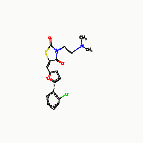 CN(C)CCN1C(=O)SC(=Cc2ccc(-c3ccccc3Cl)o2)C1=O